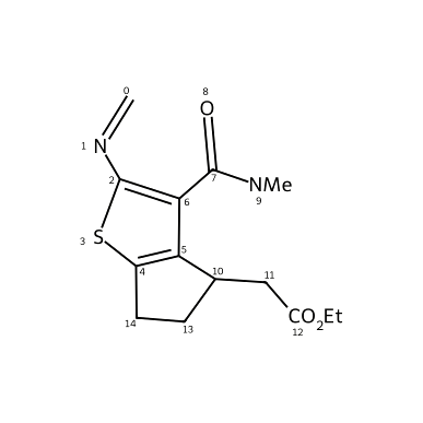 C=Nc1sc2c(c1C(=O)NC)C(CC(=O)OCC)CC2